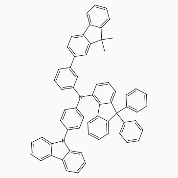 CC1(C)c2ccccc2-c2ccc(-c3cccc(N(c4ccc(-n5c6ccccc6c6ccccc65)cc4)c4cccc5c4-c4ccccc4C5(c4ccccc4)c4ccccc4)c3)cc21